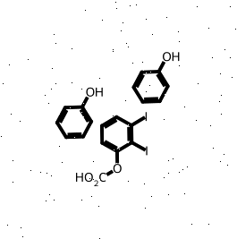 O=C(O)Oc1cccc(I)c1I.Oc1ccccc1.Oc1ccccc1